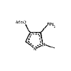 COc1cnn(C)c1N